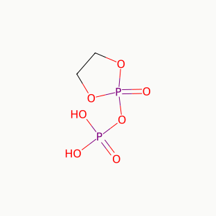 O=P(O)(O)OP1(=O)OCCO1